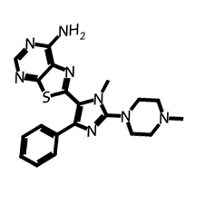 CN1CCN(c2nc(-c3ccccc3)c(-c3nc4c(N)ncnc4s3)n2C)CC1